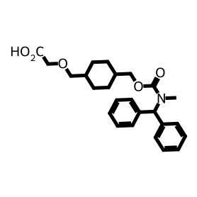 CN(C(=O)OCC1CCC(COCC(=O)O)CC1)C(c1ccccc1)c1ccccc1